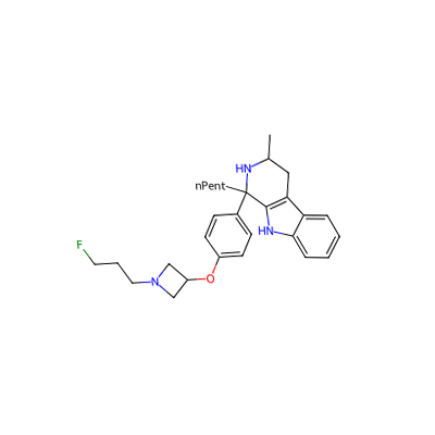 CCCCCC1(c2ccc(OC3CN(CCCF)C3)cc2)NC(C)Cc2c1[nH]c1ccccc21